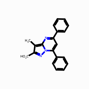 Cc1c(C(=O)O)nn2c(-c3ccccc3)cc(-c3ccccc3)nc12